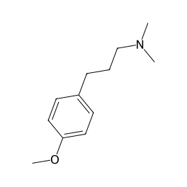 COc1ccc(CCCN(C)C)cc1